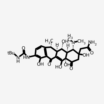 C[C@H]1c2ccc(NC(=O)NC(C)(C)C)c(O)c2C(=O)C2=C(O)[C@]3(O)C(=O)CC(O)(CC(N)=O)[C@@H](N(C)C)[C@@H]3[C@@H](O)[C@@H]21